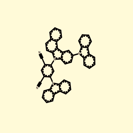 N#Cc1cc(C#N)c(-n2c3ccc(-n4c5ccccc5c5ccccc54)cc3c3c4ccccc4ccc32)cc1-n1c2ccccc2c2ccccc21